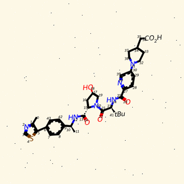 Cc1ncsc1-c1ccc([C@H](C)NC(=O)[C@@H]2C[C@@H](O)CN2C(=O)[C@@H](NC(=O)c2ccc(N3CCC(CC(=O)O)CC3)cn2)C(C)(C)C)cc1